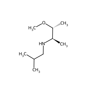 CO[C@H](C)[C@@H](C)NCC(C)C